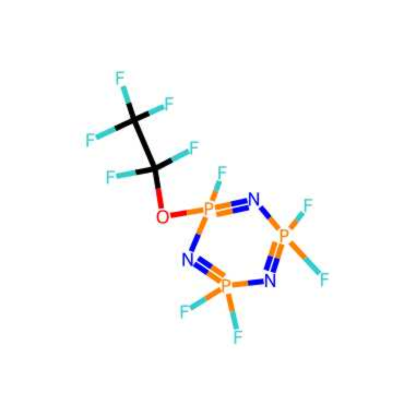 FC(F)(F)C(F)(F)OP1(F)=NP(F)(F)=NP(F)(F)=N1